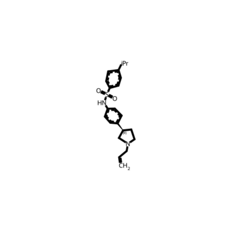 C=CCN1CC[C@H](c2ccc(NS(=O)(=O)c3ccc(C(C)C)cc3)cc2)C1